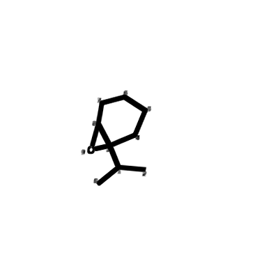 CC(C)C12CCCCC1O2